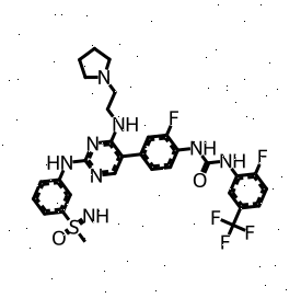 CS(=N)(=O)c1cccc(Nc2ncc(-c3ccc(NC(=O)Nc4cc(C(F)(F)F)ccc4F)c(F)c3)c(NCCN3CCCC3)n2)c1